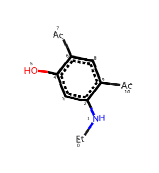 CCNc1cc(O)c(C(C)=O)cc1C(C)=O